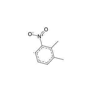 Cc1cc[c]c([N+](=O)[O-])c1C